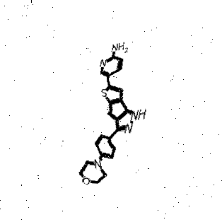 Nc1ccc(-c2cc3c(s2)Cc2c(-c4ccc(N5CCOCC5)cc4)n[nH]c2-3)cn1